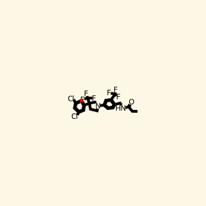 CCC(=O)NCc1ccc(N2CCC(c3cc(Cl)cc(Cl)c3)(C(F)(F)F)C2)cc1C(F)(F)F